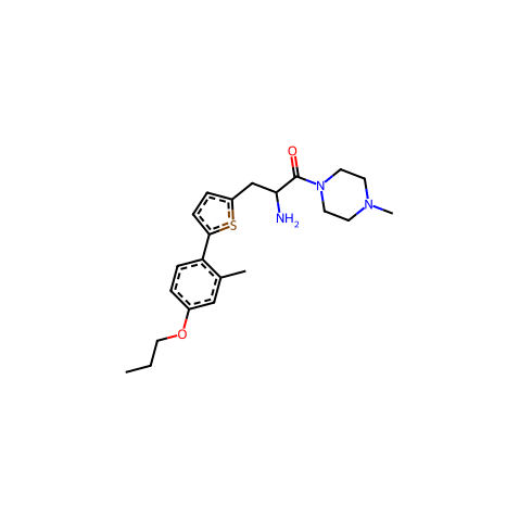 CCCOc1ccc(-c2ccc(CC(N)C(=O)N3CCN(C)CC3)s2)c(C)c1